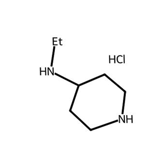 CCNC1CCNCC1.Cl